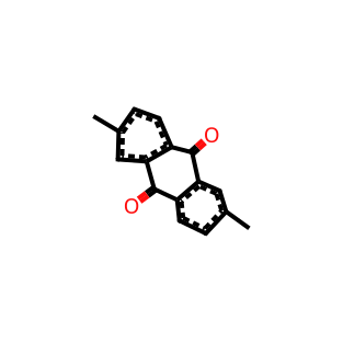 Cc1ccc2c(c1)C(=O)c1ccc(C)cc1C2=O